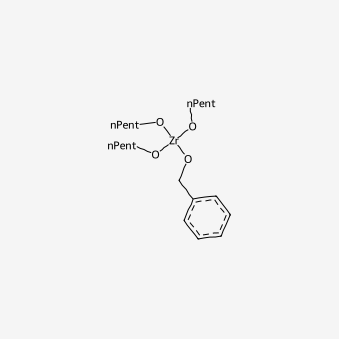 CCCCC[O][Zr]([O]CCCCC)([O]CCCCC)[O]Cc1ccccc1